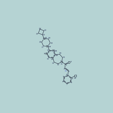 O=C(/C=C/c1ccccc1Cl)N1CCc2cnc(N3CCN(C4CCC4)CC3)nc2CC1